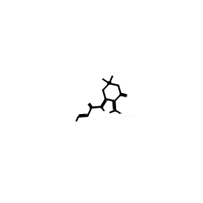 CSc1sc(C(=O)/C=C/O)c2c1C(=O)CC(C)(C)C2